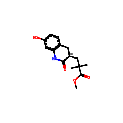 COC(=O)C(C)(C)C[C@@H]1Cc2ccc(O)cc2NC1=O